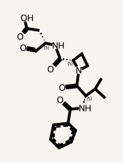 CC(C)[C@H](NC(=O)c1ccccc1)C(=O)N1CC[C@H]1C(=O)N[C@H](C=O)CC(=O)O